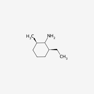 CC[C@H]1CCC[C@@H](C)C1N